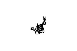 CC(C)(C)[C@H](NC(=O)[C@@H](CC1CCCC1)CN(O)C=O)C(=O)N1CCN(Cc2cccc(C#N)c2)CC1